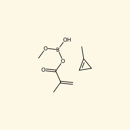 C=C(C)C(=O)OB(O)OC.CC1=CC1